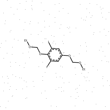 CCOCOc1cc(I)c(OCOCC)c(I)c1